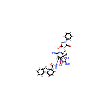 N=C1N[C@H]2[C@H](CN3C(=O)CN(c4ccccc4)C3=O)NC(=N)N3CC(NC(=O)c4cccc5c4Cc4ccccc4-5)C(O)(O)[C@]23N1